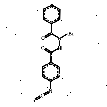 CC(C)(C)N(NC(=O)c1ccc(N=C=S)cc1)C(=O)c1ccccc1